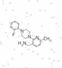 Cc1ccc(CN)c(N2CCN(c3ccccc3F)CC2)n1